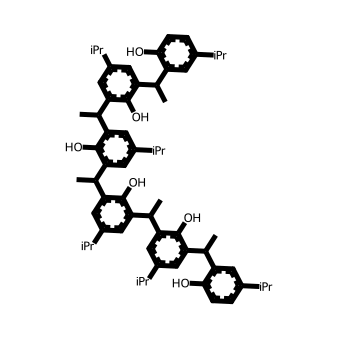 CC(C)c1ccc(O)c(C(C)c2cc(C(C)C)cc(C(C)c3cc(C(C)C)cc(C(C)c4cc(C(C)C)cc(C(C)c5cc(C(C)C)cc(C(C)c6cc(C(C)C)ccc6O)c5O)c4O)c3O)c2O)c1